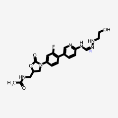 CC(=O)NCC1CN(c2ccc(-c3ccc(N/C=N\NCCO)nc3)c(F)c2)C(=O)O1